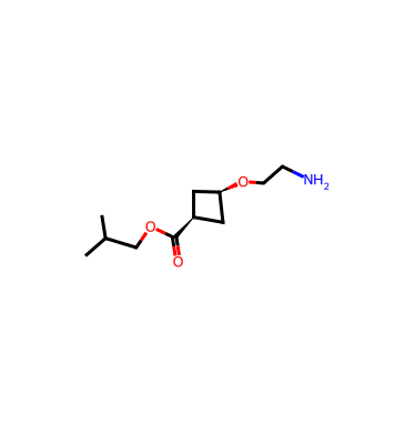 CC(C)COC(=O)[C@H]1C[C@@H](OCCN)C1